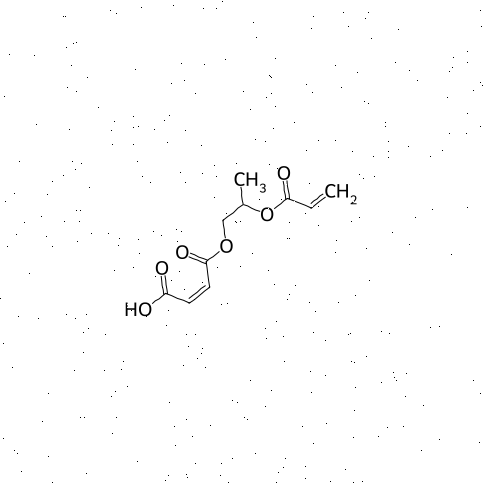 C=CC(=O)OC(C)COC(=O)/C=C\C(=O)O